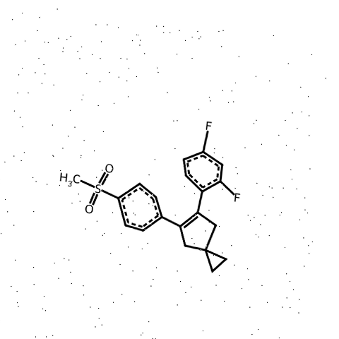 CS(=O)(=O)c1ccc(C2=C(c3ccc(F)cc3F)CC3(CC3)C2)cc1